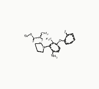 CN(C[C@H]1CCCN1c1c(N)ccc(Oc2ccccc2F)c1C(F)(F)F)C(=O)OC(C)(C)C